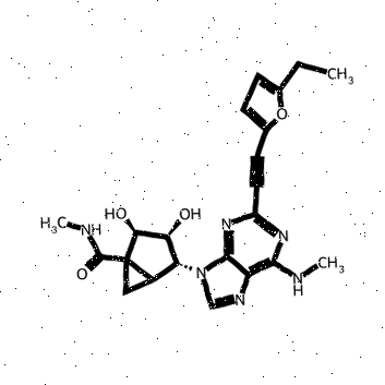 CCc1ccc(C#Cc2nc(NC)c3ncn([C@@H]4C5CC5(C(=O)NC)[C@@H](O)[C@H]4O)c3n2)o1